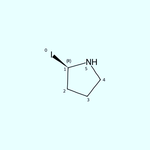 I[C@@H]1CCCN1